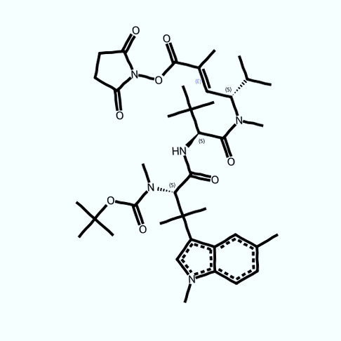 C/C(=C\[C@H](C(C)C)N(C)C(=O)[C@@H](NC(=O)[C@@H](N(C)C(=O)OC(C)(C)C)C(C)(C)c1cn(C)c2ccc(C)cc12)C(C)(C)C)C(=O)ON1C(=O)CCC1=O